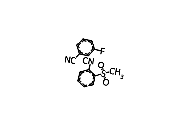 CS(=O)(=O)c1ccccc1C#N.N#Cc1cccc(F)c1